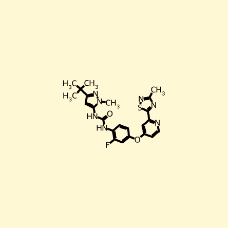 Cc1nsc(-c2cc(Oc3ccc(NC(=O)Nc4cc(C(C)(C)C)nn4C)c(F)c3)ccn2)n1